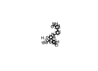 Cc1cc2nc(-c3ccnc(-c4cncc(C(N)=O)c4)c3)sc2c(-c2ccc(Cl)cc2)c1[C@H](OC(C)(C)C)C(=O)O